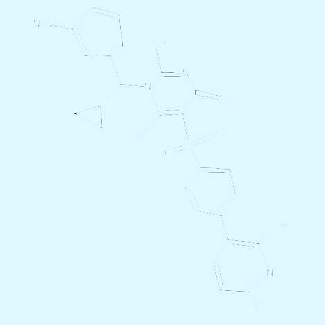 CCCCc1nc(=O)c(S(=O)(=O)c2ccc(-c3ccc(F)nc3C)cc2)c(O)n1C(c1cccc(C#N)c1)C1CC1